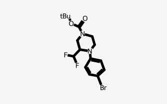 CC(C)(C)OC(=O)N1CCN(c2ccc(Br)cc2)C(C(F)F)C1